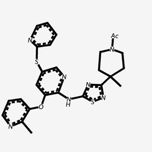 CC(=O)N1CCC(C)(c2nsc(Nc3ncc(Sc4ccccn4)cc3Oc3cccnc3C)n2)CC1